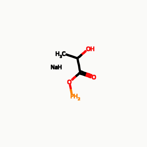 CC(O)C(=O)OP.[NaH]